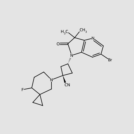 CC1(C)C(=O)N([C@H]2C[C@@](C#N)(N3CCC(F)C4(CC4)C3)C2)c2cc(Br)cnc21